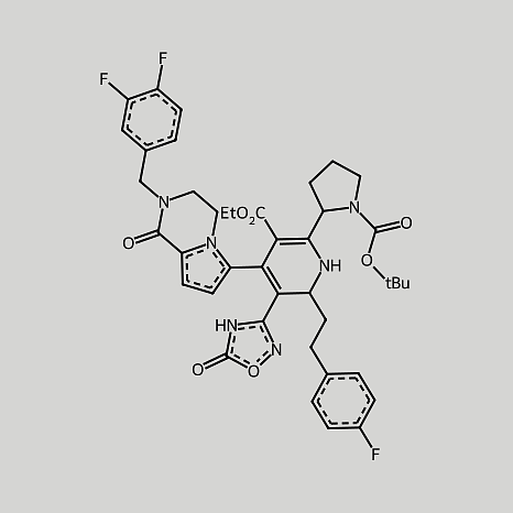 CCOC(=O)C1=C(C2CCCN2C(=O)OC(C)(C)C)NC(CCc2ccc(F)cc2)C(c2noc(=O)[nH]2)=C1c1ccc2n1CCN(Cc1ccc(F)c(F)c1)C2=O